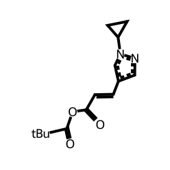 CC(C)(C)C(=O)OC(=O)/C=C/c1cnn(C2CC2)c1